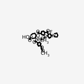 COCOc1ccc(C(=O)N[C@@H]2CN(C(=O)O)CCC[C@H]2OC(=O)c2ccc(C(=O)c3c(OCOC)ccc(N4CCCCC4)c3F)cc2)cc1